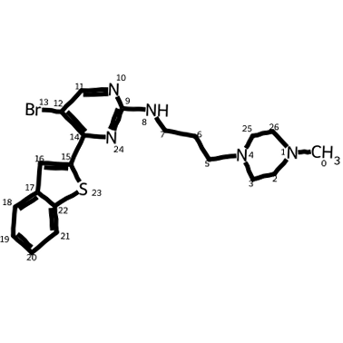 CN1CCN(CCCNc2ncc(Br)c(-c3cc4ccccc4s3)n2)CC1